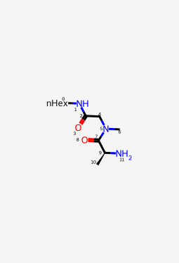 CCCCCCNC(=O)CN(C)C(=O)[C@H](C)N